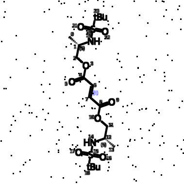 C[C@@H](COC(=O)/C=C/C(=O)OC[C@H](C)NS(=O)(=O)C(C)(C)C)NS(=O)(=O)C(C)(C)C